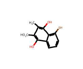 Cc1c(C(=O)O)c(O)c2cccc(S)c2c1O